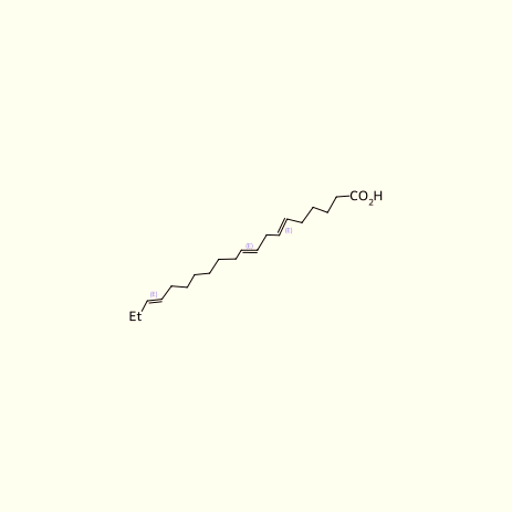 CC/C=C/CCCCCC/C=C/C/C=C/CCCCC(=O)O